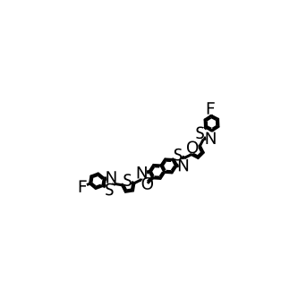 Fc1ccc2nc(-c3ccc(-c4nc5cc6cc7oc(-c8ccc(-c9nc%10ccc(F)cc%10s9)s8)nc7cc6cc5s4)o3)sc2c1